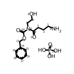 NCCCC(=O)N(CCO)C(=O)OCc1ccccc1.O=P(O)(O)O